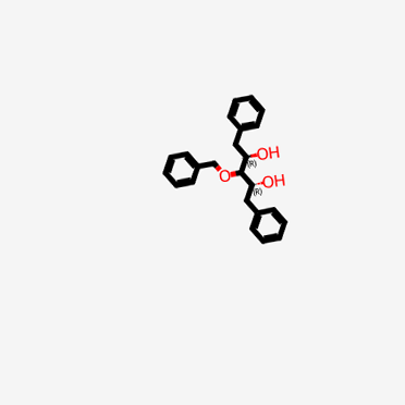 O[C@H](Cc1ccccc1)C(OCc1ccccc1)[C@H](O)Cc1ccccc1